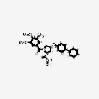 COc1cc(C(=S)N2C[C@@H](Oc3ccc(-c4ccccc4)cc3)C[C@@H]2C(=O)NO)cc(C(F)(F)F)c1OC